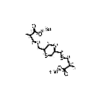 CC(CSCC1CSC(CSCC(C)C(=O)OC(C)(C)C)CS1)C(=O)OC(C)(C)C